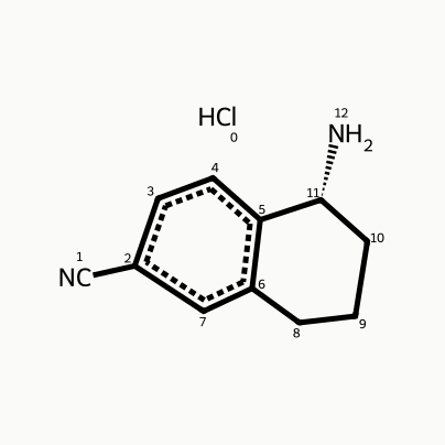 Cl.N#Cc1ccc2c(c1)CCC[C@H]2N